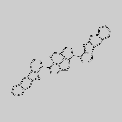 c1ccc2cc3c(cc2c1)oc1c(-c2ccc4ccc5c(-c6cccc7c6oc6cc8ccccc8cc67)ccc6ccc2c4c65)cccc13